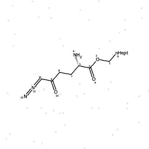 CCCCCCCCOC(=O)[C@@H](N)CCC(=O)C=[N+]=[N-]